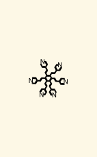 C(=C\c1c(/C=C/c2ccncc2)c(/C=C/c2ccncc2)c(/C=C/c2ccncc2)c(/C=C/c2ccncc2)c1/C=C/c1ccncc1)/c1ccncc1